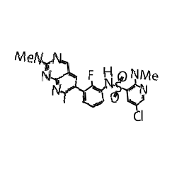 CNc1ncc2cc(-c3cccc(NS(=O)(=O)c4cc(Cl)cnc4NC)c3F)c(C)nc2n1